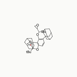 CC(C)(C)C(Oc1ccc(C23CC4CC(CC(C4)C2)C3)c(OC(C2CO2)C(C)(C)C)c1C12CC3CC(CC(C3)C1)C2)C1CO1